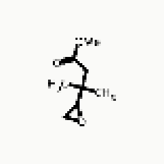 COC(=O)CC(C)(C)C1CO1